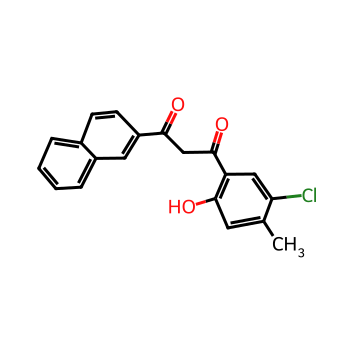 Cc1cc(O)c(C(=O)CC(=O)c2ccc3ccccc3c2)cc1Cl